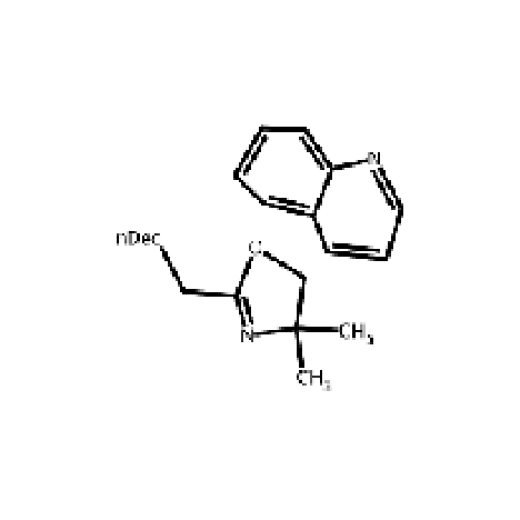 CCCCCCCCCCCC1=NC(C)(C)CO1.c1ccc2ncccc2c1